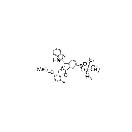 COCOc1ccc(F)cc1CN1C(=O)c2cc(B3OC(C)(C)C(C)(C)O3)ccc2C1c1nc2ccccc2[nH]1